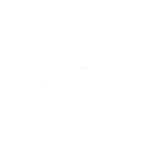 CC(C)(C)CCCOCCO